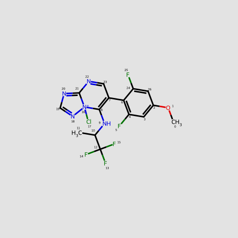 COc1cc(F)c(C2=C(NC(C)C(F)(F)F)[N+]3(Cl)N=CN=C3N=C2)c(F)c1